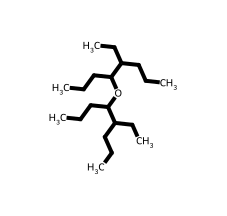 CCCC(CC)C(CCC)OC(CCC)C(CC)CCC